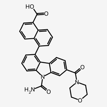 NC(=O)n1c2cc(C(=O)N3CCOCC3)ccc2c2c(-c3cccc4c(C(=O)O)cccc34)cccc21